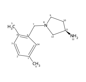 Cc1ccc(C)c(CN2CC[C@@H](N)C2)c1